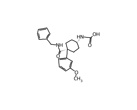 COc1cccc([C@]2(C(=O)NCc3ccccc3)CC[C@@H](NC(=O)O)CC2)c1